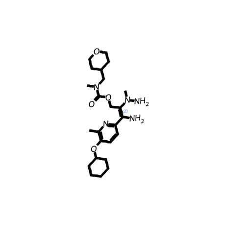 Cc1nc(/C(N)=C(\COC(=O)N(C)CC2CCOCC2)N(C)N)ccc1OC1CCCCC1